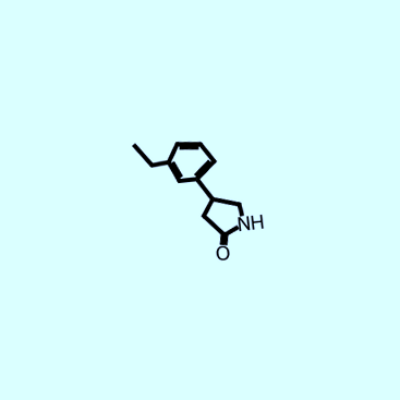 CCc1cccc(C2CNC(=O)C2)c1